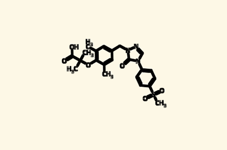 Cc1cc(Cn2ncn(-c3ccc(S(C)(=O)=O)cc3)c2=O)cc(C)c1OC(C)(C)C(=O)O